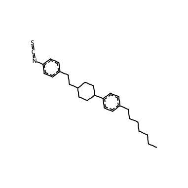 CCCCCCCc1ccc(C2CCC(CCc3ccc(N=C=S)cc3)CC2)cc1